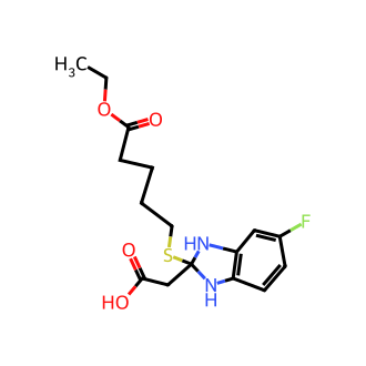 CCOC(=O)CCCCSC1(CC(=O)O)Nc2ccc(F)cc2N1